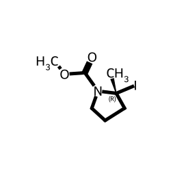 COC(=O)N1CCC[C@@]1(C)I